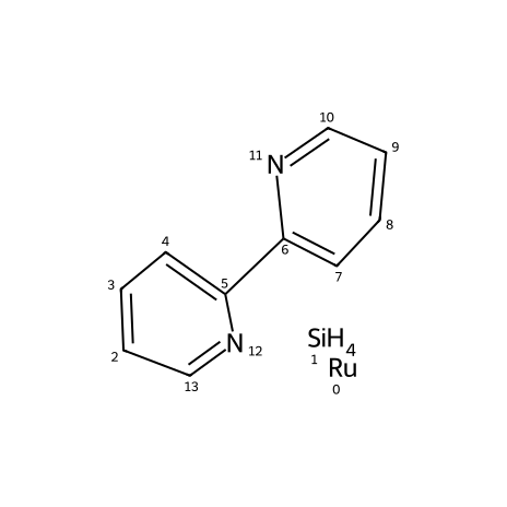 [Ru].[SiH4].c1ccc(-c2ccccn2)nc1